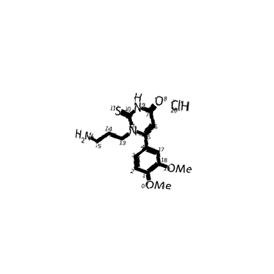 COc1ccc(-c2cc(=O)[nH]c(=S)n2CCCN)cc1OC.Cl